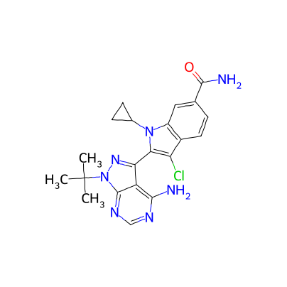 CC(C)(C)n1nc(-c2c(Cl)c3ccc(C(N)=O)cc3n2C2CC2)c2c(N)ncnc21